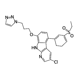 CCS(=O)(=O)C1=CCCC(c2ccc(OCCCn3ccnn3)c3[nH]c4ncc(Cl)cc4c23)=C1